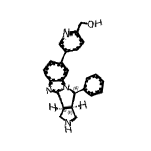 OCc1ccc(-c2ccc3nc4n(c3c2)[C@@H](c2ccccc2)[C@H]2CNC[C@@H]42)cn1